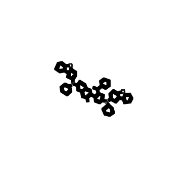 Cc1cc2cc(N(c3ccccc3)c3ccc4oc5ccccc5c4c3)ccc2cc1-c1ccc(N(c2ccccc2)c2ccc3oc4ccccc4c3c2)cc1C(C)c1ccccc1